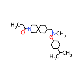 CCC(=O)N1CCC2(CCC(CN(C)OC3CCC(C(C)C)CC3)CC2)CC1